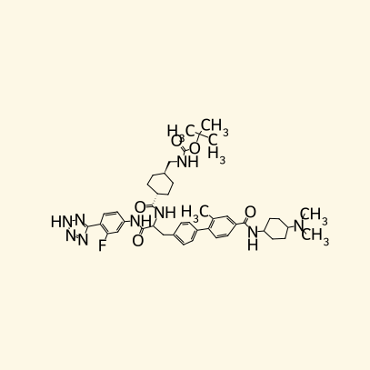 Cc1cc(C(=O)NC2CCC(N(C)C)CC2)ccc1-c1ccc(CC(NC(=O)[C@H]2CC[C@H](CNC(=O)OC(C)(C)C)CC2)C(=O)Nc2ccc(-c3nn[nH]n3)c(F)c2)cc1